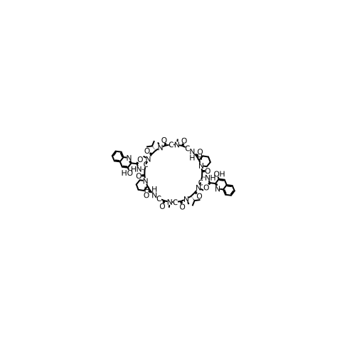 CC(C)[C@H]1C(=O)N(C)C[C@@H](NC(=O)c2nc3ccccc3cc2O)C(=O)N2CCCC[C@H]2C(=O)NCC(=O)N(C)CC(=O)N(C)[C@@H](C(C)C)C(=O)N(C)C[C@@H](NC(=O)c2nc3ccccc3cc2O)C(=O)N2CCCC[C@H]2C(=O)NCC(=O)N(C)CC(=O)N1C